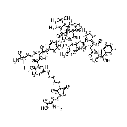 CC[C@H](C)[C@@H]([C@@H](CC(=O)N1CCC[C@H]1[C@H](OC)[C@@H](C)C(=O)N[C@H](C)[C@@H](O)c1ccccc1)OC)N(C)C(=O)[C@@H](NC(=O)[C@H](C(C)C)N(C)C(=O)OCc1ccc(NC(=O)[C@H](CCCNC(N)=O)NC(=O)[C@@H](NC(=O)CCCCCN2C(=O)CC(SC[C@H](N)C(=O)O)C2=O)C(C)C)cc1)C(C)C